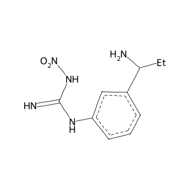 CCC(N)c1cccc(NC(=N)N[N+](=O)[O-])c1